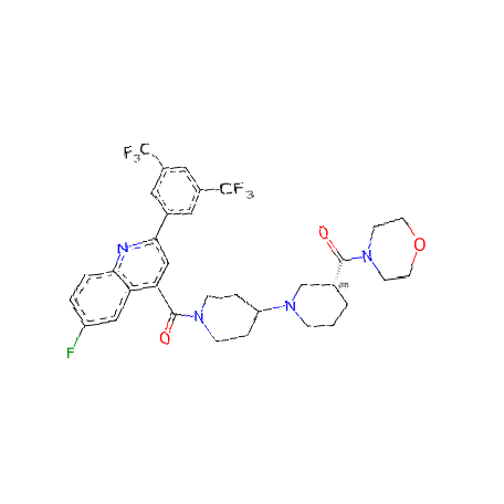 O=C(c1cc(-c2cc(C(F)(F)F)cc(C(F)(F)F)c2)nc2ccc(F)cc12)N1CCC(N2CCC[C@@H](C(=O)N3CCOCC3)C2)CC1